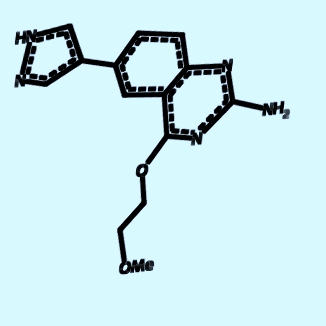 COCCOc1nc(N)nc2ccc(-c3cn[nH]c3)cc12